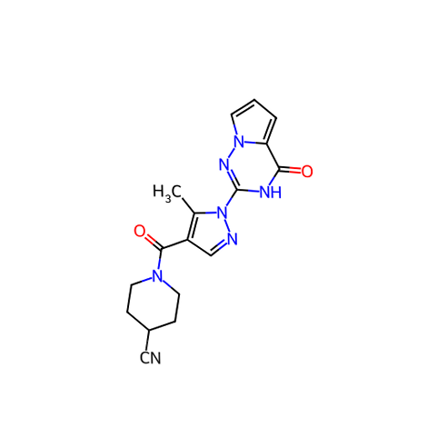 Cc1c(C(=O)N2CCC(C#N)CC2)cnn1-c1nn2cccc2c(=O)[nH]1